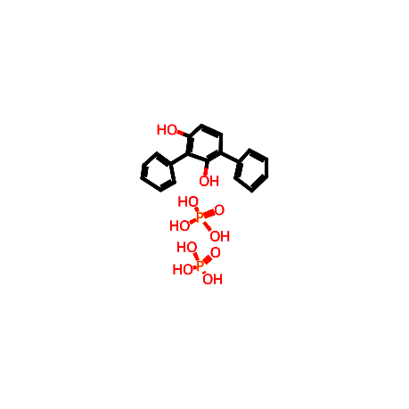 O=P(O)(O)O.O=P(O)(O)O.Oc1ccc(-c2ccccc2)c(O)c1-c1ccccc1